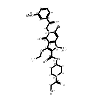 CCc1cc2c(c(OCC(F)(F)F)c(C(=O)NC3CCN(C(=O)CO)CC3)n2C)c(=O)n1CC(=O)c1cccc(OC)c1